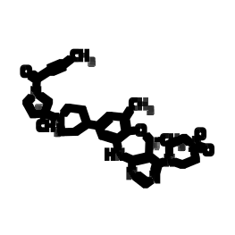 CC#CC(=O)N1CC[C@](C)(N2CCC(c3cc(C)c4c(c3)Nc3ncnc(N5CCS(=O)(=O)CC5)c3[C@@H](C)O4)CC2)C1